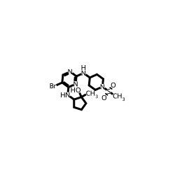 CC1(O)CCCC1Nc1nc(NC2CCN(S(C)(=O)=O)CC2)ncc1Br